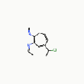 C=NC1=C(/N=C\C)C=C(C(C)Cl)C=CC1